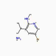 CNc1ncc(Br)cc1C(C)C.N